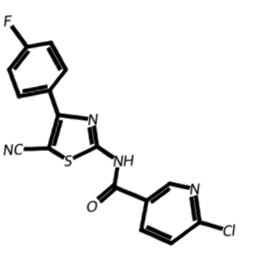 N#Cc1sc(NC(=O)c2ccc(Cl)nc2)nc1-c1ccc(F)cc1